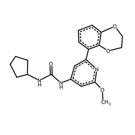 COc1cc(NC(=O)NC2CCCC2)cc(-c2cccc3c2OCCO3)n1